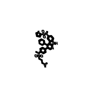 CN(C)CCCS(=O)(=O)N(C)c1ccc(-c2cnc3[nH]c4ccc(N(C)S(=O)(=O)c5cccs5)cc4c3c2C2=CC=CCC2)cc1